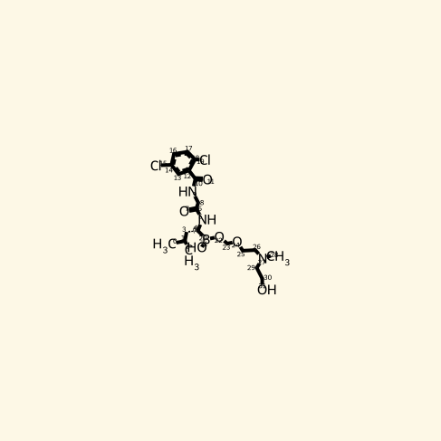 CC(C)C[C@H](NC(=O)CNC(=O)c1cc(Cl)ccc1Cl)B(O)OCOCCN(C)CCO